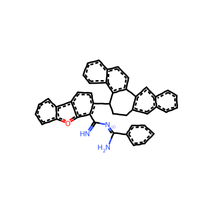 N=C(/N=C(\N)c1ccccc1)c1c(C2CCc3cc4ccccc4cc3-c3ccc4ccccc4c32)ccc2c1oc1ccccc12